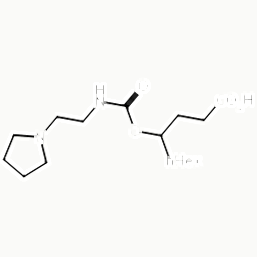 CCCCCCC(CCC(=O)O)OC(=O)NCCN1CCCC1